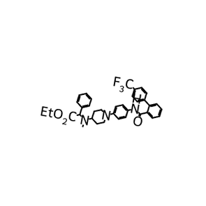 CCOC(=O)C(c1ccccc1)N(C)C1CCN(c2ccc(NC(=O)c3ccccc3-c3ccc(C(F)(F)F)cc3)cc2)CC1